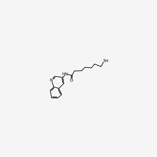 O=C(CCCCCCS)Nc1cnc2ccccc2c1